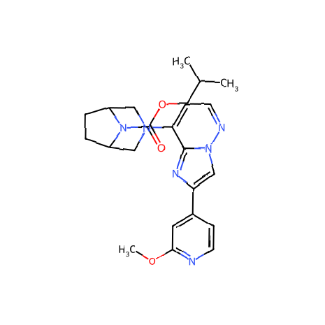 COc1cc(-c2cn3nccc(N4CC5CCC(C4)N5C(=O)OCC(C)C)c3n2)ccn1